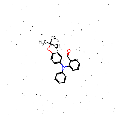 CC(C)(C)Oc1ccc(N(c2ccccc2)c2ccccc2C=O)cc1